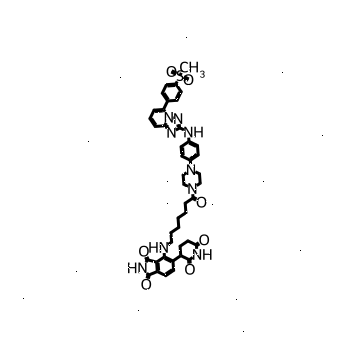 CS(=O)(=O)c1ccc(-c2cccc3nc(Nc4ccc(N5CCN(C(=O)CCCCCCNc6c(C7CCC(=O)NC7=O)ccc7c6C(=O)NC7=O)CC5)cc4)nn23)cc1